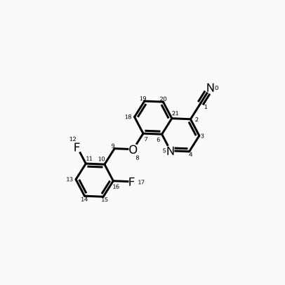 N#Cc1ccnc2c(OCc3c(F)cccc3F)cccc12